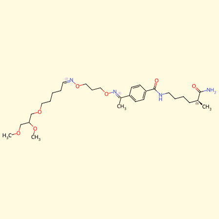 COCC(COCCCC/C=N\OCCCO/N=C(\C)c1ccc(C(=O)NCCCC[C@H](C)C(N)=O)cc1)OC